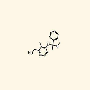 COC(C)(Oc1ccnc(CO)c1C)c1ccccn1